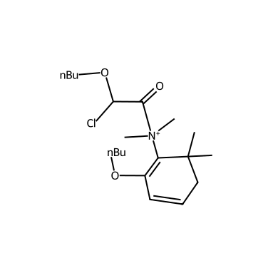 CCCCOC1=C([N+](C)(C)C(=O)C(Cl)OCCCC)C(C)(C)CC=C1